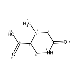 CN1CC(=O)NCC1C(=O)O